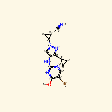 COc1nc(Nc2cn(C3C[C@@H]3C#N)nc2C2CC2)ncc1Br